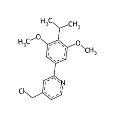 COc1cc(-c2cc(CCl)ccn2)cc(OC)c1C(C)C